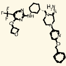 N/N=C1/CN(c2ccc(OCc3ccccc3)nc2)CCN1C[C@H]1CCC[C@@H](Nc2ncc(C(F)(F)F)c(OC3COC3)n2)C1